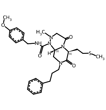 COc1ccc(CNC(=O)N2[C@H]3CN(CCCc4ccccc4)C(=O)[C@H](CCSC)N3C(=O)CN2C)cc1